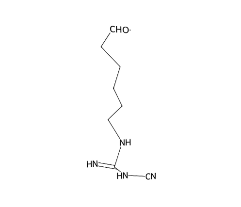 N#CNC(=N)NCCCCC[C]=O